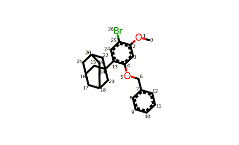 COc1cc(OCc2ccccc2)c(C23CC4CC(CC(C4)C2)C3)cc1Br